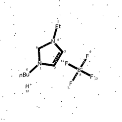 CCCCN1C=CN(CC)C1.F[B-](F)(F)F.[H+]